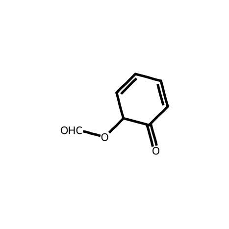 O=COC1C=CC=CC1=O